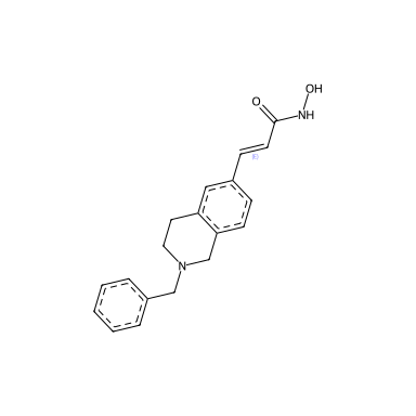 O=C(/C=C/c1ccc2c(c1)CCN(Cc1ccccc1)C2)NO